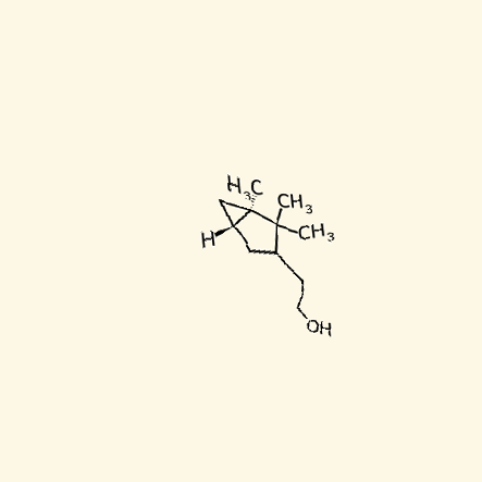 CC1(C)C(CCO)C[C@@H]2C[C@]21C